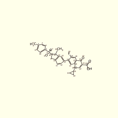 Cc1ccc(S(=O)(=O)N2Cc3ccc(-c4cc5c(cc4F)c(=O)c(C(=O)O)cn5C4CC4)cc3C2C)cc1